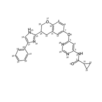 O=C(Nc1cc(Oc2ccc3c(c2)CC(c2nc(-c4ccccc4)c[nH]2)CO3)ncn1)C1CC1